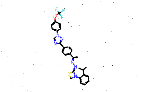 C/C(=N\N=C1/SCN1c1ccccc1C(C)C)c1ccc(-c2ncn(-c3ccc(OC(F)(F)F)cc3)n2)cc1